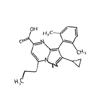 CCCc1cc(C(=O)O)nc2c(-c3c(C)cccc3C)c(C3CC3)nn12